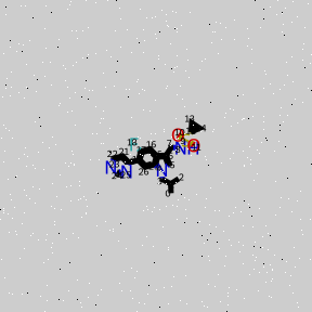 CC(C)Cn1cc(CNS(=O)(=O)C2CC2)c2cc(F)c(-c3ccncn3)cc21